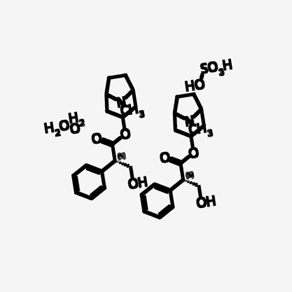 CN1C2CCC1CC(OC(=O)[C@H](CO)c1ccccc1)C2.CN1C2CCC1CC(OC(=O)[C@H](CO)c1ccccc1)C2.O.O.O=S(=O)(O)O